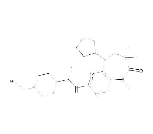 C[C@H](Nc1ncc2c(n1)N(C1CCCC1)CC(C)(C)C(=O)N2C)C1CCN(CC#N)CC1